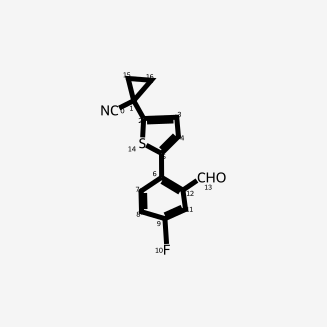 N#CC1(c2ccc(-c3ccc(F)cc3C=O)s2)CC1